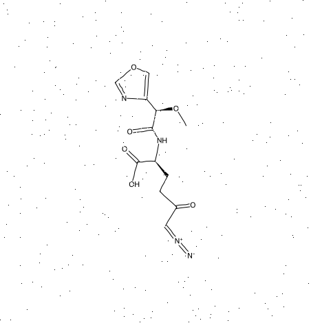 CO[C@@H](C(=O)N[C@@H](CCC(=O)C=[N+]=[N-])C(=O)O)c1cocn1